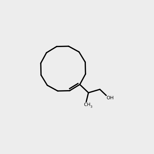 CC(CO)C1=CCCCCCCCCCC1